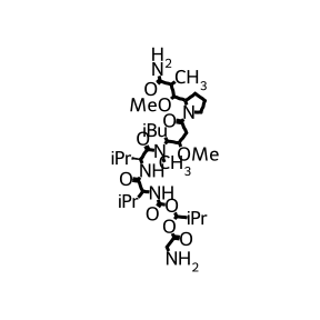 CCC(C)C(C(CC(=O)N1CCCC1C(OC)C(C)C(N)=O)OC)N(C)C(=O)[C@@H](NC(=O)C(NC(=O)OC(OC(=O)CN)C(C)C)C(C)C)C(C)C